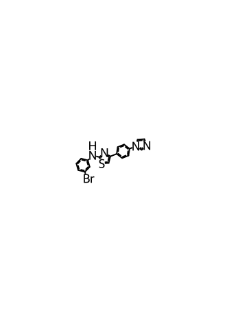 Brc1cccc(Nc2nc(-c3ccc(-n4ccnc4)cc3)cs2)c1